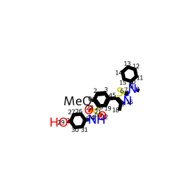 COc1ccc(-c2sc(N(C)C3CCCCC3)nc2C)cc1S(=O)(=O)NC1CCC(O)CC1